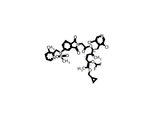 C=C(/C=C\C(OC(F)F)=C(/C)OCC1CC1)[C@H](Cc1c(Cl)cncc1Cl)OC(=O)CN1C(=O)c2ccc(N(Cc3ncccc3C)S(C)(=O)=O)cc2C1=O